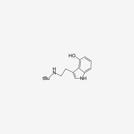 CC(C)(C)NCCc1c[nH]c2cccc(O)c12